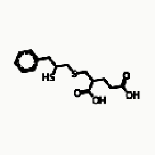 O=C(O)CCC(CSCC(S)Cc1ccccc1)C(=O)O